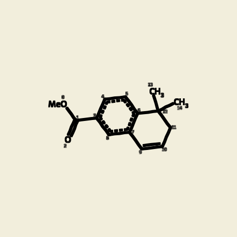 COC(=O)c1ccc2c(c1)C=CCC2(C)C